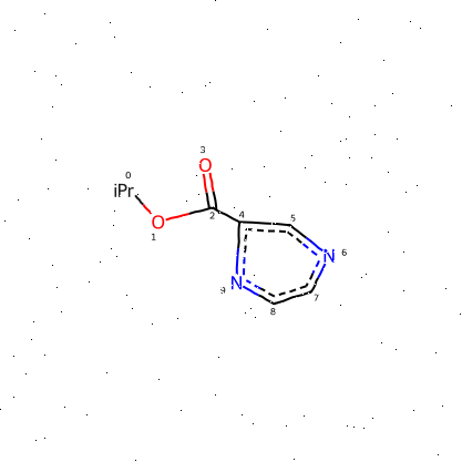 CC(C)OC(=O)c1cnccn1